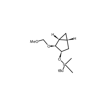 COCO[C@H]1[C@@H]2C[C@@H]2C[C@H]1O[Si](C)(C)C(C)(C)C